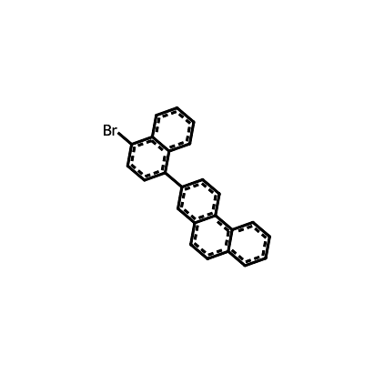 Brc1ccc(-c2ccc3c(ccc4ccccc43)c2)c2ccccc12